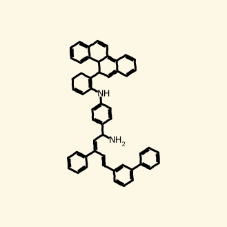 NC(/C=C(\C=C\c1cccc(-c2ccccc2)c1)c1ccccc1)c1ccc(NC2=C(C3C=c4ccccc4=C4C=Cc5ccccc5C43)CCC=C2)cc1